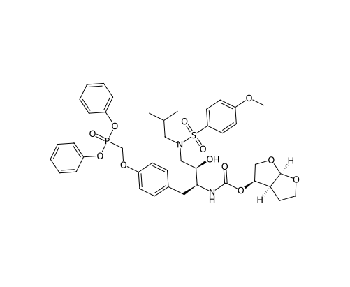 COc1ccc(S(=O)(=O)N(CC(C)C)C[C@@H](O)[C@H](Cc2ccc(OCP(=O)(Oc3ccccc3)Oc3ccccc3)cc2)NC(=O)O[C@H]2CO[C@H]3OCC[C@H]32)cc1